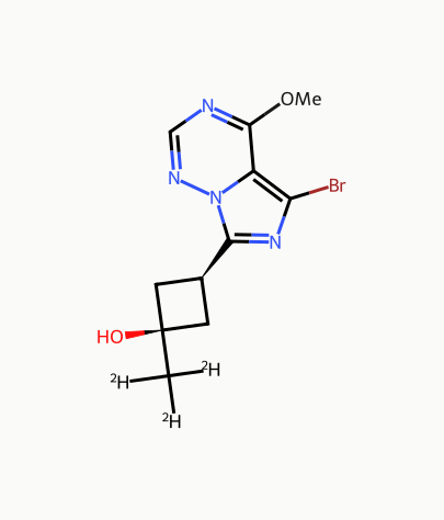 [2H]C([2H])([2H])[C@]1(O)C[C@@H](c2nc(Br)c3c(OC)ncnn32)C1